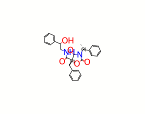 C[C@H](c1ccccc1)N1C(=O)O[C@](Cc2ccccc2)(C(=O)NCC(O)c2ccccc2)C1=O